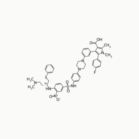 Cc1c(C(=O)O)c(-c2cccc(N3CCN(c4ccc(NS(=O)(=O)c5ccc(N[C@H](CCN(C)C)CSc6ccccc6)c([N+](=O)[O-])c5)cc4)CC3)c2)c(-c2ccc(F)cc2)n1C